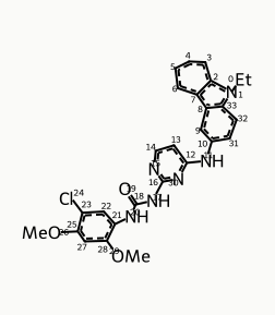 CCn1c2ccccc2c2cc(Nc3ccnc(NC(=O)Nc4cc(Cl)c(OC)cc4OC)n3)ccc21